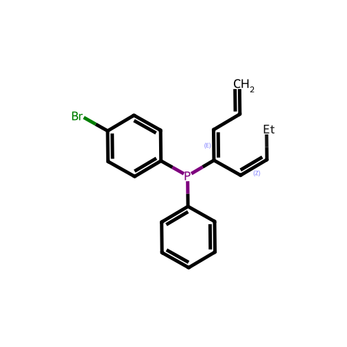 C=C/C=C(\C=C/CC)P(c1ccccc1)c1ccc(Br)cc1